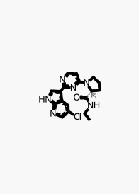 CCNC(=O)[C@H]1CCCN1c1ccnc(-c2c[nH]c3ncc(Cl)cc23)n1